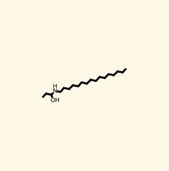 CCCCCCCCCCCCCCCCNC(O)CC